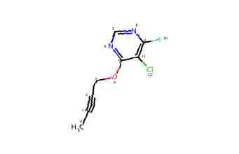 CC#CCOc1ncnc(F)c1Cl